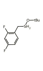 CC(C)(C)O[SiH2]Cc1ccc(F)cc1F